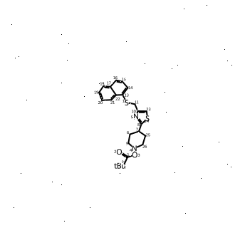 CC(C)(C)C(=O)ON1CCC(c2nc(CSc3cccc4ccccc34)cs2)CC1